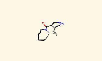 Cc1[c][nH]cc1C(=O)N1CCCCC1